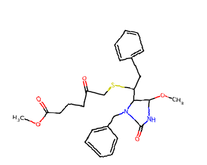 COC(=O)CCCC(=O)CSC(Cc1ccccc1)C1C(OC)NC(=O)N1Cc1ccccc1